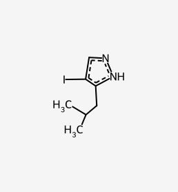 CC(C)Cc1[nH]ncc1I